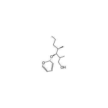 CCC[C@@H](C)[C@H](O[C@@H]1C=CC=CO1)C(C)CO